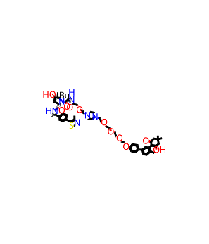 Cc1ccc(-c2ccc(OCCOCCOCCOCCN3CCN(CCOCC(=O)N[C@H](C(=O)N4C[C@H](O)C[C@H]4C(=O)N[C@@H](C)c4ccc(-c5scnc5C)cc4)C(C)(C)C)CC3)cc2)cc1C1=C(O)CC(C)(C)CC1=O